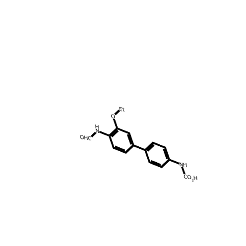 CCOc1cc(-c2ccc(NC(=O)O)cc2)ccc1NC=O